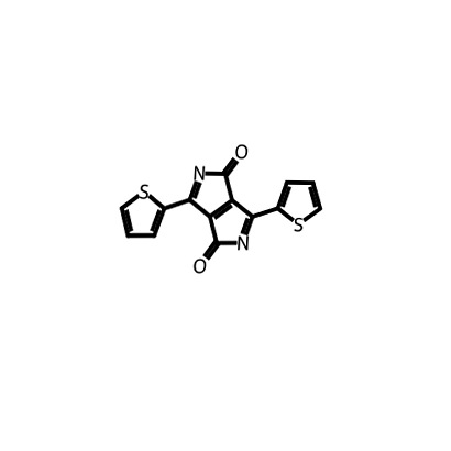 O=c1nc(-c2cccs2)c2c(=O)nc(-c3cccs3)c1=2